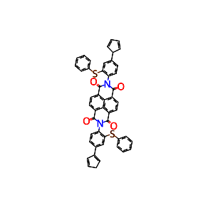 O=C1c2ccc3c4c(ccc(c24)C(=O)N1c1ccc(C2=CCC=C2)cc1Sc1ccccc1)C(=O)N(c1ccc(C2C=CC=C2)cc1Sc1ccccc1)C3=O